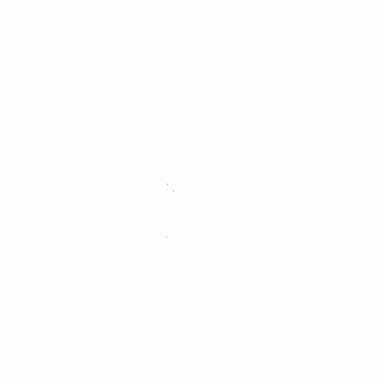 CCC12c3ccccc3C(CC)(c3cc(Br)ccc31)N2C1CC1